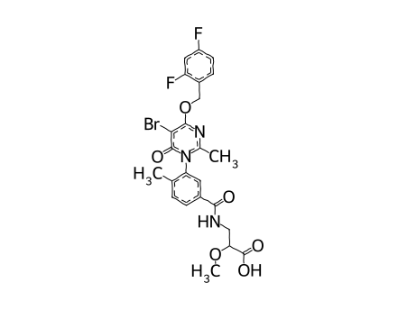 COC(CNC(=O)c1ccc(C)c(-n2c(C)nc(OCc3ccc(F)cc3F)c(Br)c2=O)c1)C(=O)O